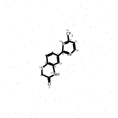 O=C1CSc2ccc(-c3nccc(C(F)(F)F)n3)cc2N1